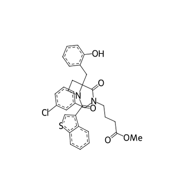 COC(=O)CCCN(Cc1cccc(Cl)c1)C(=O)C1(Cc2ccccc2O)CCN1C(=O)c1csc2ccccc12